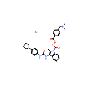 Cc1c(NC(=O)Nc2ccc(C3CCCC3)cc2)c2cc(F)ccc2n1C(=O)OOC(=O)c1ccc(CN(C)C)cc1.Cl